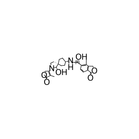 CC1=C(N2CC[C@]3(CC[C@H](NC[C@H](O)c4ccc5c(c4C)COC5=O)CC3)C2O)COC1=O